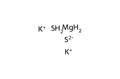 S.[K+].[K+].[MgH2].[S-2]